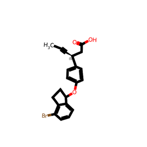 CC#C[C@@H](CC(=O)O)c1ccc(OC2CCc3c(Br)cccc32)cc1